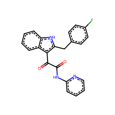 O=C(Nc1ccccn1)C(=O)c1c(Cc2ccc(F)cc2)[nH]c2ccccc12